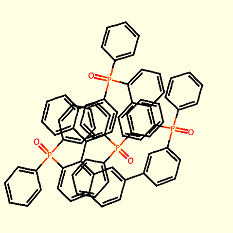 O=P(c1ccccc1)(c1ccccc1)c1ccc2ccccc2c1-c1c(P(=O)(c2ccccc2)c2ccccc2)ccc2ccc(-c3cccc(P(=O)(c4ccccc4)c4cccc5c(P(=O)(c6ccccc6)c6ccccc6)cccc45)c3)cc12